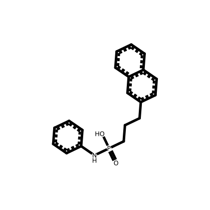 O=P(O)(CCCc1ccc2ccccc2c1)Nc1ccccc1